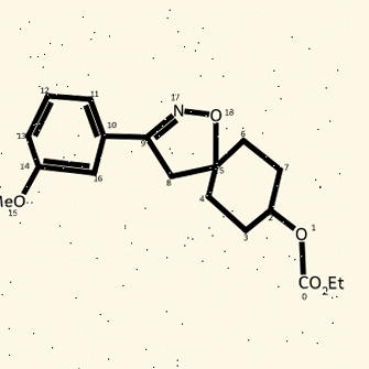 CCOC(=O)OC1CCC2(CC1)CC(c1cccc(OC)c1)=NO2